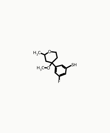 COC1(c2cc(F)cc(S)c2)CCOC(C)C1